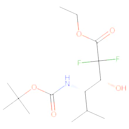 CCOC(=O)C(F)(F)[C@H](O)[C@@H](NC(=O)OC(C)(C)C)C(C)C